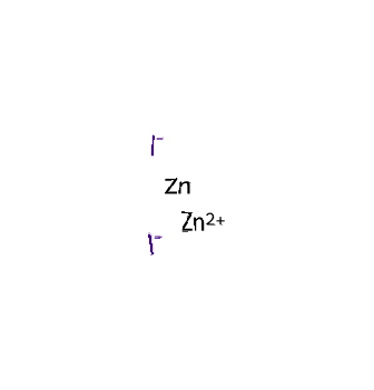 [I-].[I-].[Zn+2].[Zn]